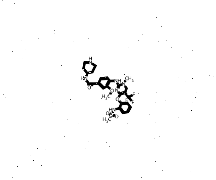 COc1cc(C2OC2NC2CCNCC2)ccc1NC1=NC(Oc2ccccc2NS(C)(=O)=O)=C(C(F)(F)F)CN1C